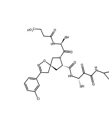 CCC[C@H](NC(=O)[C@@H]1C[C@]2(CC(c3cccc(Cl)c3)=NO2)CN1C(=O)[C@@H](NC(=O)CCC(=O)O)C(C)(C)C)C(=O)C(=O)NC1CC1